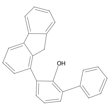 Oc1c(-c2ccccc2)cccc1-c1cccc2c1Cc1ccccc1-2